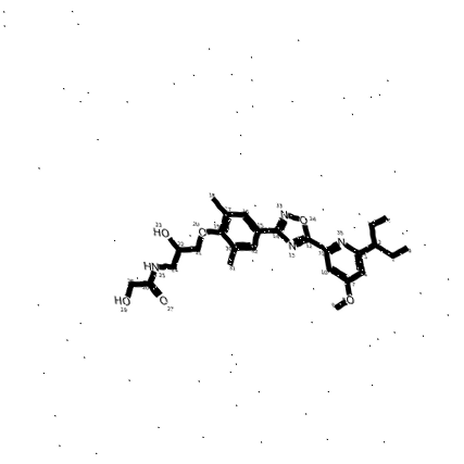 CCC(CC)c1cc(OC)cc(-c2nc(-c3cc(C)c(OCC(O)CNC(=O)CO)c(C)c3)no2)n1